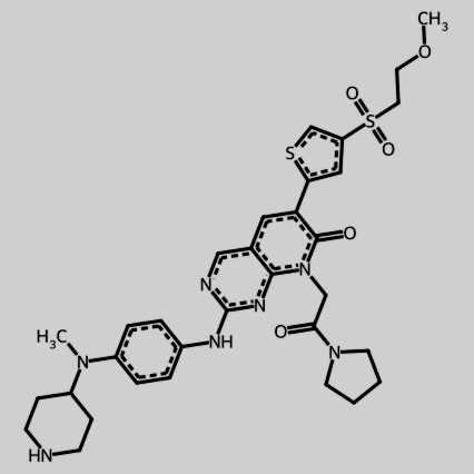 COCCS(=O)(=O)c1csc(-c2cc3cnc(Nc4ccc(N(C)C5CCNCC5)cc4)nc3n(CC(=O)N3CCCC3)c2=O)c1